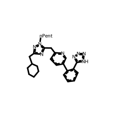 CCCCCn1nc(CC2CCCCC2)nc1Cc1ccc(-c2ccccc2-c2nnn[nH]2)cn1